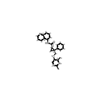 Cc1ncc(OC[C@@]2(c3ccccc3)C[C@H]2C(=O)Nc2cccc3ncccc23)c(C)n1